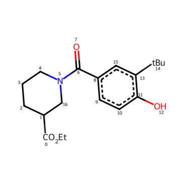 CCOC(=O)C1CCCN(C(=O)c2ccc(O)c(C(C)(C)C)c2)C1